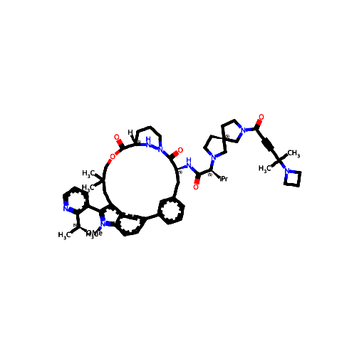 CO[C@@H](C)c1ncccc1-c1c2c3cc(ccc3n1C)-c1cccc(c1)C[C@H](NC(=O)[C@H](C(C)C)N1CC[C@]3(CCN(C(=O)C#CC(C)(C)N4CCC4)C3)C1)C(=O)N1CCC[C@H](N1)C(=O)OCC(C)(C)C2